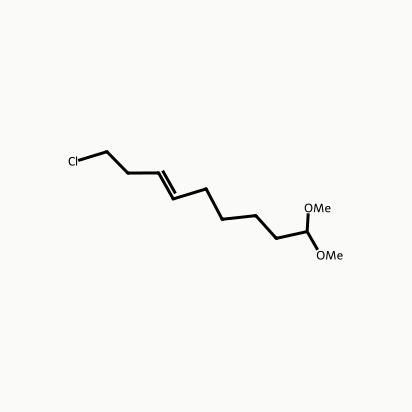 COC(CCCC/C=C/CCCl)OC